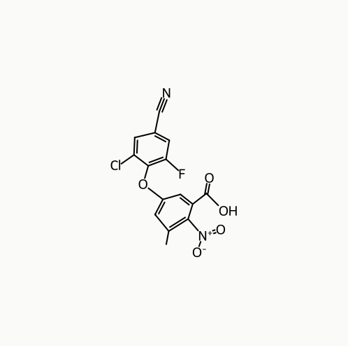 Cc1cc(Oc2c(F)cc(C#N)cc2Cl)cc(C(=O)O)c1[N+](=O)[O-]